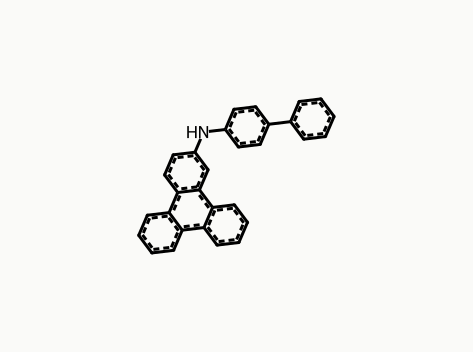 c1ccc(-c2ccc(Nc3ccc4c5ccccc5c5ccccc5c4c3)cc2)cc1